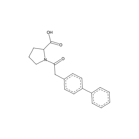 O=C(O)C1CCCN1C(=O)Cc1ccc(-c2ccccc2)cc1